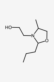 CCCC1OCC(C)N1CCO